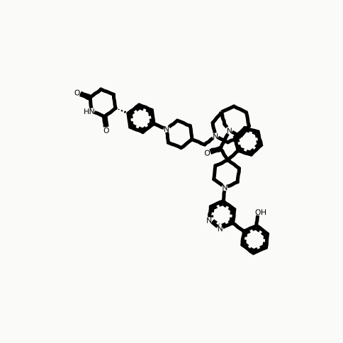 O=C1CC[C@H](c2ccc(N3CCC(CN4CC5CCCC(C4)N(C(=O)C4(c6ccccc6)CCN(c6cnnc(-c7ccccc7O)c6)CC4)C5)CC3)cc2)C(=O)N1